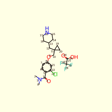 CN(C)C(=O)c1ccc(OCC2(CC3CCNCC3)CC2)cc1Cl.O=C(O)C(F)(F)F